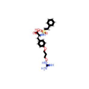 N=C(N)NOCCCOc1ccc(C[C@H](NS(=O)(=O)/C=C/c2ccccc2)C(=O)O)cc1